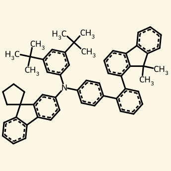 CC(C)(C)c1cc(N(c2ccc(-c3ccccc3-c3cccc4c3C(C)(C)c3ccccc3-4)cc2)c2ccc3c(c2)C2(CCCC2)c2ccccc2-3)cc(C(C)(C)C)c1